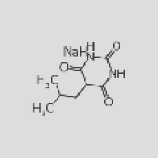 CC(C)CC1C(=O)NC(=O)NC1=O.[NaH]